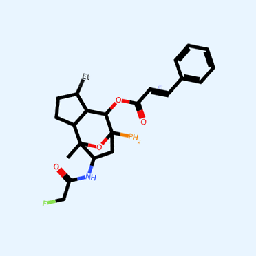 CCC1CCC2C1C(OC(=O)/C=C/c1ccccc1)C1(P)CC(NC(=O)CF)C2(C)O1